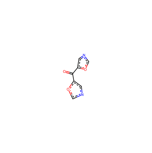 O=C(c1cnco1)c1cnco1